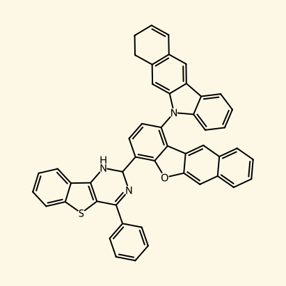 C1=Cc2cc3c4ccccc4n(-c4ccc(C5N=C(c6ccccc6)c6sc7ccccc7c6N5)c5oc6cc7ccccc7cc6c45)c3cc2CC1